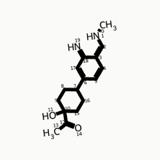 CN/C=C1/C=CC(C2CCC(O)(C(C)=O)CC2)=CC1=N